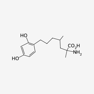 CC(CCCc1ccc(O)cc1O)CC(C)(N)C(=O)O